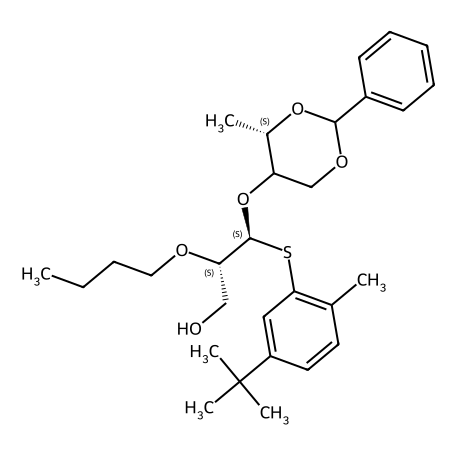 CCCCO[C@@H](CO)[C@@H](OC1COC(c2ccccc2)O[C@H]1C)Sc1cc(C(C)(C)C)ccc1C